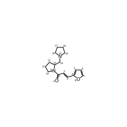 O=C(C=Cc1ccco1)N1CCCC1CN1CCCC1